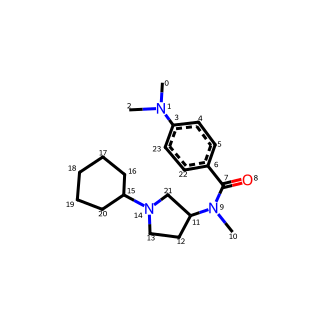 CN(C)c1ccc(C(=O)N(C)C2CCN(C3CCCCC3)C2)cc1